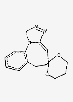 C1=C2N=NCN2c2ccccc2CC12OCCCO2